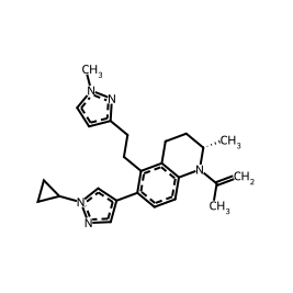 C=C(C)N1c2ccc(-c3cnn(C4CC4)c3)c(CCc3ccn(C)n3)c2CC[C@@H]1C